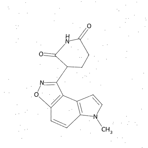 Cn1ccc2c3c(C4CCC(=O)NC4=O)noc3ccc21